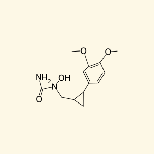 COc1ccc(C2CC2CN(O)C(N)=O)cc1OC